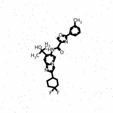 Cc1cccc(-c2nc(C(=O)Nc3cn4cc(C5CCC(F)(F)CC5)nc4cc3C(C)(C)O)co2)c1